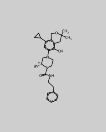 CC(C)[C@@H]1CN(c2cc(C3CC3)c3c(c2C#N)CC(C)(C)OC3)CCN1C(=O)NCCc1ccccc1